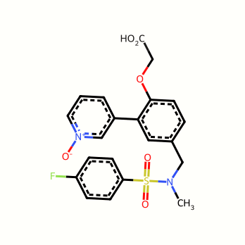 CN(Cc1ccc(OCC(=O)O)c(-c2ccc[n+]([O-])c2)c1)S(=O)(=O)c1ccc(F)cc1